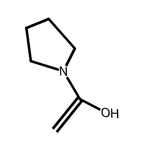 C=C(O)N1CCCC1